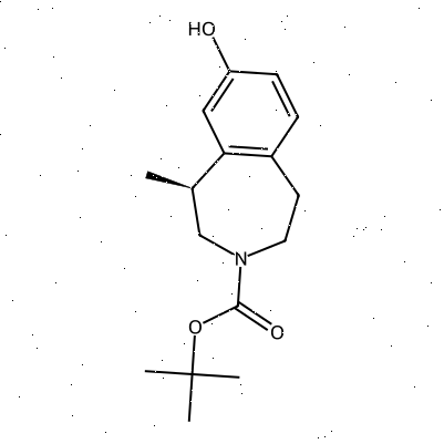 C[C@@H]1CN(C(=O)OC(C)(C)C)CCc2ccc(O)cc21